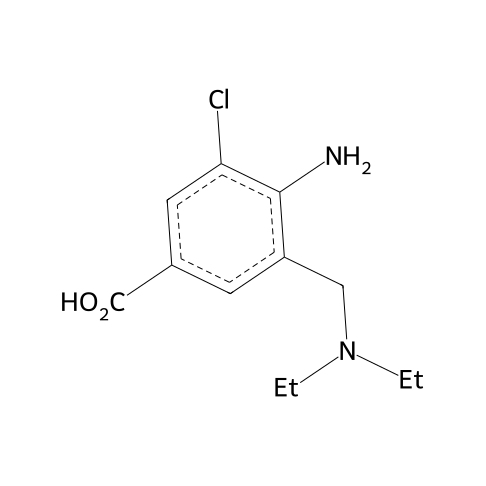 CCN(CC)Cc1cc(C(=O)O)cc(Cl)c1N